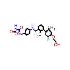 Cc1cc(OCCO)c(F)cc1-c1cccc(CNc2ccc(Cn3oc(=O)[nH]c3=O)cc2)c1C